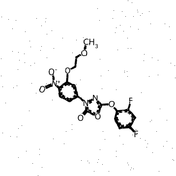 COCCOc1cc(-n2nc(Oc3ccc(F)cc3F)oc2=O)ccc1[N+](=O)[O-]